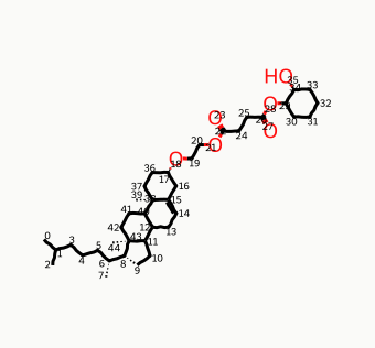 CC(C)CCC[C@@H](C)[C@H]1CCC2C3CC=C4C[C@@H](OCCOC(=O)CCC(=O)OC5CCCC[C@@H]5O)CC[C@]4(C)C3CC[C@@]21C